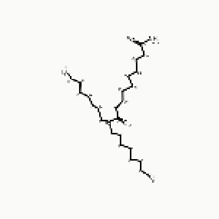 CCCCCCCCN(CCCCCCCC)C(=O)CCCCCCCCC(N)=O